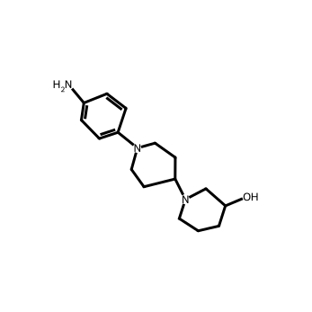 Nc1ccc(N2CCC(N3CCCC(O)C3)CC2)cc1